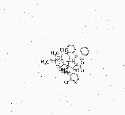 C=C(/C(=C\C(Cl)=C/C)NC)[C@@]1(C=O)[C@@H](c2ccnc(Cl)c2F)[C@@H]2C(=O)O[C@@H](c3ccccc3)[C@@H](c3ccccc3)N2C12CCC(C)(C)CC2